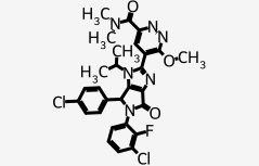 COc1nnc(C(=O)N(C)C)cc1-c1nc2c(n1C(C)C)C(c1ccc(Cl)cc1)N(c1cccc(Cl)c1F)C2=O